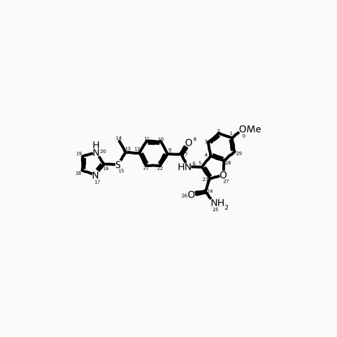 COc1ccc2c(NC(=O)c3ccc(C(C)Sc4ncc[nH]4)cc3)c(C(N)=O)oc2c1